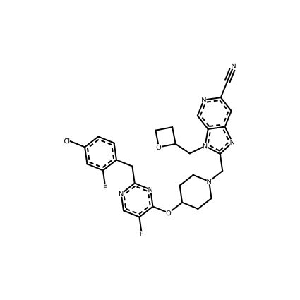 N#Cc1cc2nc(CN3CCC(Oc4nc(Cc5ccc(Cl)cc5F)ncc4F)CC3)n(CC3CCO3)c2cn1